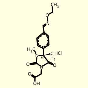 CCON=Cc1ccc([C@]2(C)C(=O)N(CC(=O)O)C(=O)N2C)cc1.Cl